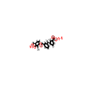 CC(=O)c1ccc(OCc2cccc(Cc3cccc(C(=O)O)c3)c2)c(C)c1O